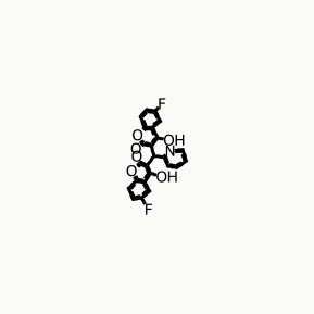 O=c1oc2ccc(F)cc2c(O)c1C(c1ccccn1)c1c(O)c2cc(F)ccc2oc1=O